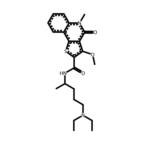 CCN(CC)CCCC(C)NC(=O)c1sc2c(c1OC)c(=O)n(C)c1ccccc21